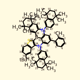 Cc1ccccc1-c1cc2c3c(c1)N(c1ccc4c(c1)C(C)(C)CCC4(C)C)c1c(sc4ccc(C(C)(C)C)cc14)B3c1cc3c(cc1N2c1ccc2c(c1)C(C)(C)CCC2(C)C)C(C)(C)CCC3(C)C